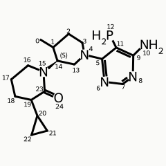 CC1CCN(c2ncnc(N)c2P)C[C@H]1N1CCCC(C2CC2)C1=O